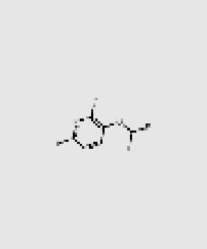 FC(F)Oc1ccc(I)nc1Cl